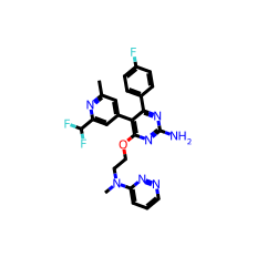 Cc1cc(-c2c(OCCN(C)c3cccnn3)nc(N)nc2-c2ccc(F)cc2)cc(C(F)F)n1